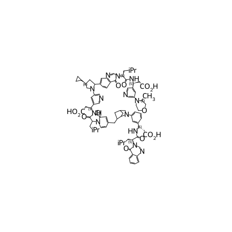 CC(C)CC(C(=O)N[C@@H](CC(=O)O)c1cncc(N2C[C@@H](C3CC3)CC2c2ccc3c(=O)n([C@@H](CC(C)C)C(=O)N[C@@H](CC(=O)O)c4cncc(N5CCOC[C@@H]5C)c4)cnc3c2)c1)n1ccc(CC2CC3CC2N(c2cccc([C@H](CC(=O)O)NC(=O)[C@H](CC(C)C)n4cnc5ccccc5c4=O)c2)C3)cc1=O